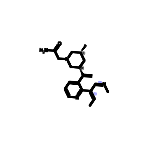 C=C(c1cccnc1C(/C=N\C)=C\C)[C@H]1C[C@@H](C)CN(CC(N)=O)C1